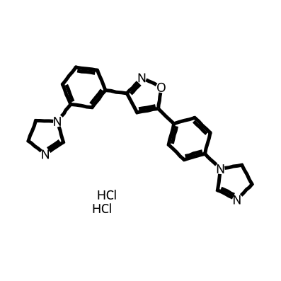 C1=NCCN1c1ccc(-c2cc(-c3cccc(N4C=NCC4)c3)no2)cc1.Cl.Cl